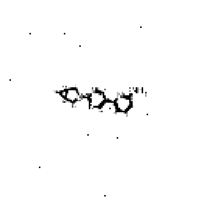 Nc1cccc(-c2cnc(N3CC4CC4C3)nc2)n1